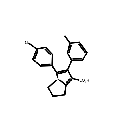 O=C(O)c1c(-c2cccc(I)c2)c(-c2ccc(Cl)cc2)n2c1CCC2